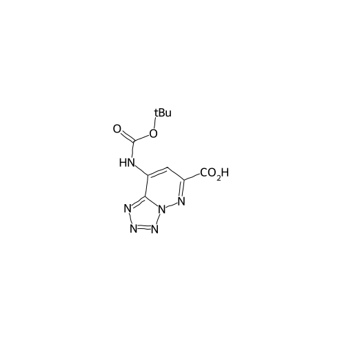 CC(C)(C)OC(=O)Nc1cc(C(=O)O)nn2nnnc12